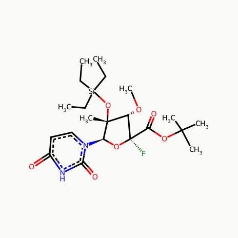 CC[Si](CC)(CC)O[C@@]1(C)[C@H](n2ccc(=O)[nH]c2=O)O[C@](F)(C(=O)OC(C)(C)C)[C@H]1OC